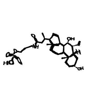 CC[C@H]1[C@@H](O)C2C3CC[C@H]([C@H](C)CC(=O)NCCOS(=O)(=O)O)[C@@]3(C)CCC2[C@@]2(C)CC[C@@H](O)C[C@@H]12